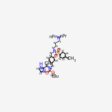 CCCN(CCC)CCCCN(Cc1ccc(CN(C(=O)OC(C)(C)C)C(C)c2ncc[nH]2)cc1)S(=O)(=O)c1ccc(C)cc1